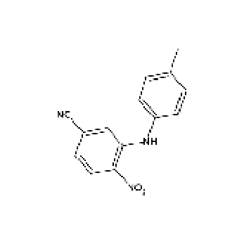 Cc1ccc(Nc2cc(C#N)ccc2[N+](=O)[O-])cc1